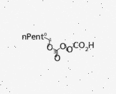 CCCCCCOC(=O)OOC(=O)O